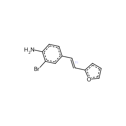 Nc1ccc(/C=C/c2ccco2)cc1Br